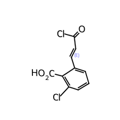 O=C(Cl)/C=C/c1cccc(Cl)c1C(=O)O